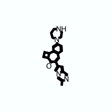 Cc1cn2cc(C3=Cc4ccc(N5CCCNCC5)cc4C4CCC4C3=O)cc2cn1